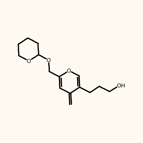 C=C1C=C(COC2CCCCO2)OC=C1CCCO